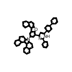 C1=C(c2ccc(-c3ccccc3)cc2)NC(c2ccccc2)N=C1c1cc(-n2c3ccc4ccccc4c3c3c4ccccc4ccc32)cc2c1oc1ccc3ccccc3c12